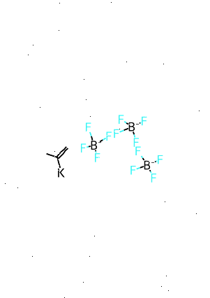 C=[C](C)[K].F[B-](F)(F)F.F[B-](F)(F)F.F[B-](F)(F)F